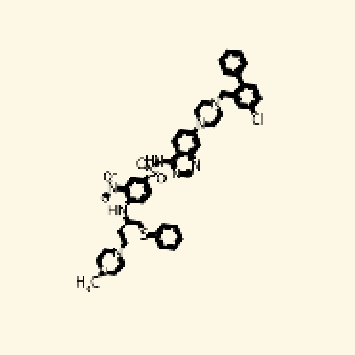 CN1CCN(CC[C@H](CSc2ccccc2)Nc2ccc(S(=O)(=O)Nc3ncnc4cc(N5CCN(Cc6cc(Cl)ccc6-c6ccccc6)CC5)ccc34)cc2[N+](=O)[O-])CC1